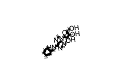 OC[C@H]1O[C@@H](n2cnc3c(NCc4ccccc4)ncnc32)C(O)[C@H]1O